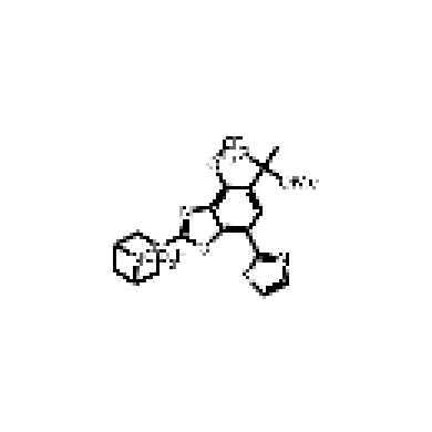 COC(C)(c1cc(-c2nccs2)c2oc(N3CC4CC(C3)N4C(=O)O)nc2c1OC(F)(F)F)C(F)(F)F